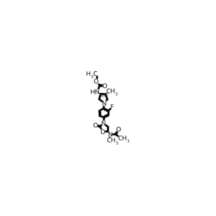 CCOC(=O)N[C@H]1CN(c2ccc(N3CC(N(C)C(C)=O)OC3=O)cc2F)C[C@H]1C